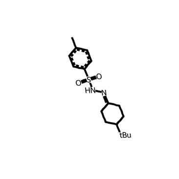 Cc1ccc(S(=O)(=O)NN=C2CCC(C(C)(C)C)CC2)cc1